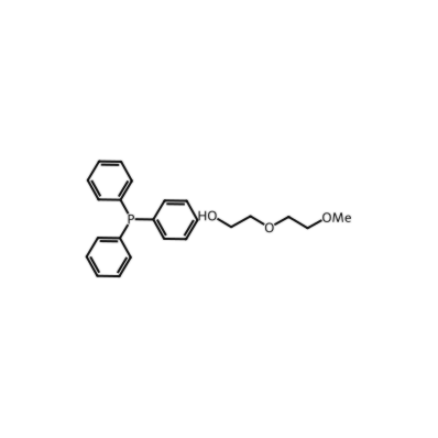 COCCOCCO.c1ccc(P(c2ccccc2)c2ccccc2)cc1